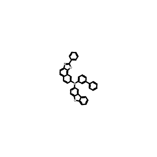 c1ccc(-c2cccc(N(c3ccc4oc5ccccc5c4c3)c3ccc4ccc5nc(-c6ccccc6)oc5c4c3)c2)cc1